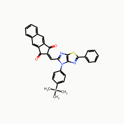 C[Si](C)(C)c1ccc(-n2c(C=C3C(=O)c4cc5ccccc5cc4C3=O)nc3sc(-c4ccccc4)nc32)cc1